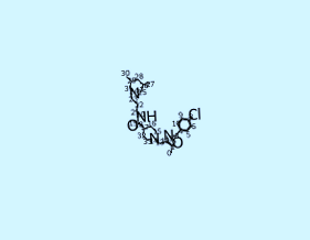 Cc1oc(-c2ccc(Cl)cc2)nc1CN1CCC(C(=O)NCCCN2CC(C)CC(C)C2)CC1